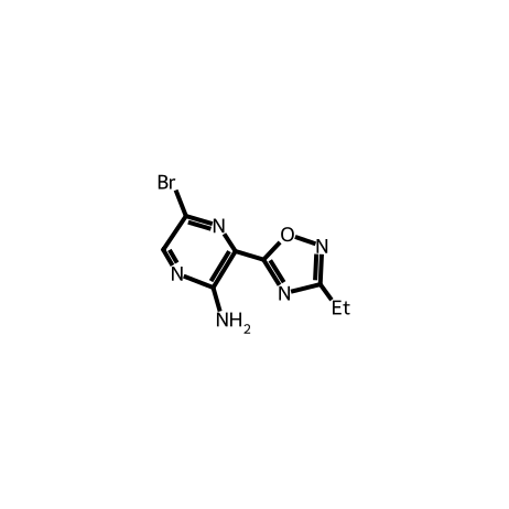 CCc1noc(-c2nc(Br)cnc2N)n1